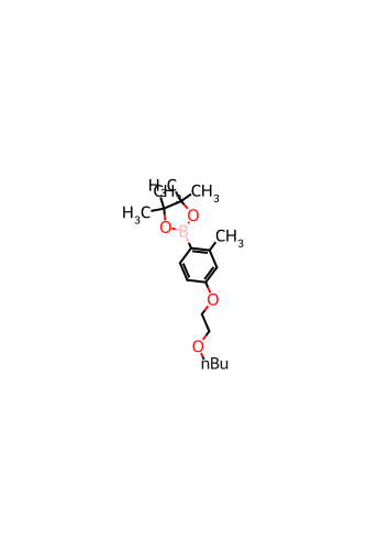 CCCCOCCOc1ccc(B2OC(C)(C)C(C)(C)O2)c(C)c1